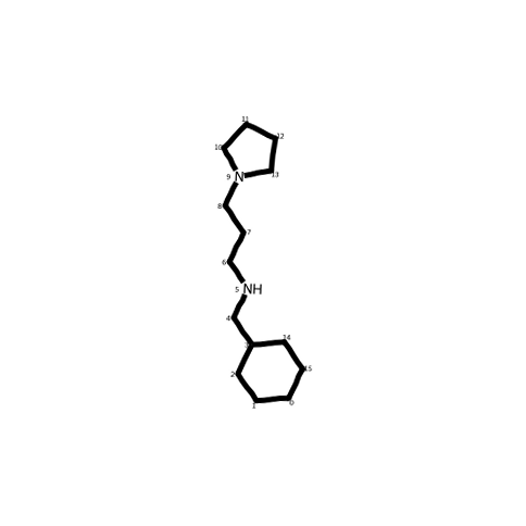 C1CCC(CNCCCN2CCCC2)CC1